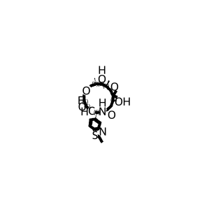 Cc1nc2cc([C@@H]3C[C@@H]4O[C@]4(F)COC[C@H](C)[C@H](O)[C@@H](C)C(=O)C(C)(C)[C@@H](O)CC(=O)N3)ccc2s1